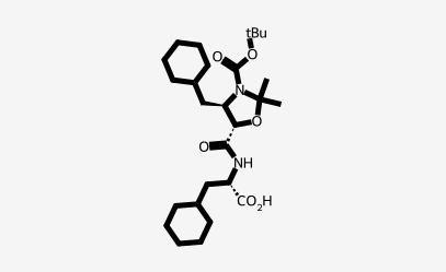 CC(C)(C)OC(=O)N1[C@H](CC2CCCCC2)[C@@H](C(=O)N[C@@H](CC2CCCCC2)C(=O)O)OC1(C)C